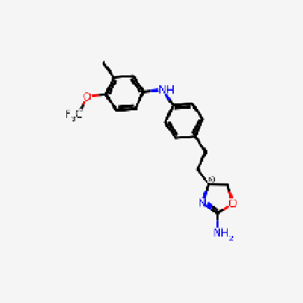 Cc1cc(Nc2ccc(CC[C@H]3COC(N)=N3)cc2)ccc1OC(F)(F)F